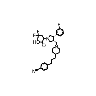 N#Cc1ccc(CCCC2CCN(C[C@H]3CN(C(CC(F)(F)F)C(=O)O)C[C@@H]3c3cccc(F)c3)CC2)cc1